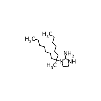 CCCCCCCC(C)(CCCCCC)N1CCNC1N